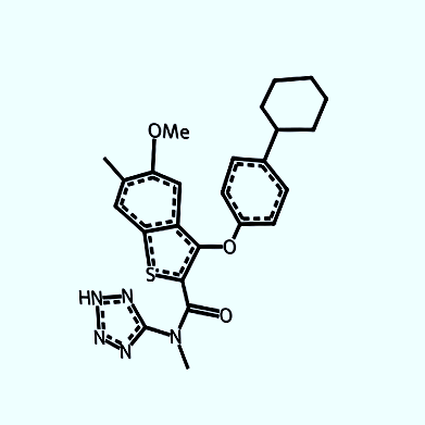 COc1cc2c(Oc3ccc(C4CCCCC4)cc3)c(C(=O)N(C)c3nn[nH]n3)sc2cc1C